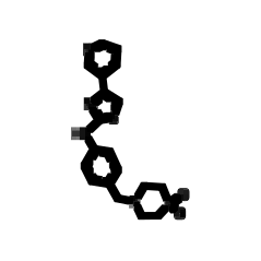 O=S1(=O)CCN(Cc2ccc(Nc3nc(-c4cccnc4)cs3)cc2)CC1